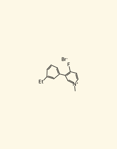 CCc1cccc(-c2c[n+](C)ccc2F)c1.[Br-]